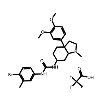 COc1ccc(C23CCC(NC(=O)Nc4ccc(Br)c(C)c4)CC2N(C)CC3)cc1OC.O=C(O)C(F)(F)F